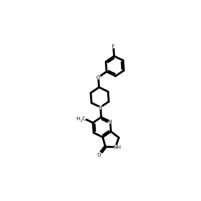 Cc1cc2c(nc1N1CCC(Oc3cccc(F)c3)CC1)CNC2=O